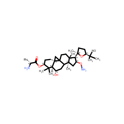 CCC(C)[C@@H](N)C(=O)O[C@H]1CC[C@]23CC24CC[C@]2(C)[C@@H]([C@@]5(C)CC[C@@H](C(C)(C)N=O)O5)[C@@H](ON)C[C@@]2(C)C4C[C@H](O)[C@H]3C1(C)C